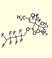 CC(C)=CC(C(=O)OCC(F)(F)C(F)(F)C(F)(F)C(F)F)(C(C)(C)C)C(F)(F)F